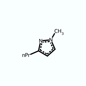 [CH2]CCc1ccn(C)n1